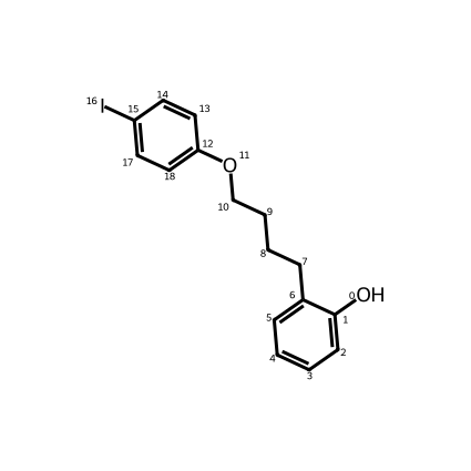 Oc1ccccc1CCCCOc1ccc(I)cc1